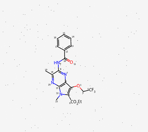 CCOC(=O)c1c(OCC(F)(F)F)c2nc(NC(=O)c3ccccc3)c(C)nc2n1C